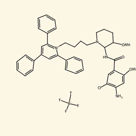 COc1cc(N)c(Cl)cc1C(=O)NC1C(OC)CCCN1CCCC[n+]1c(-c2ccccc2)cc(-c2ccccc2)cc1-c1ccccc1.F[B-](F)(F)F